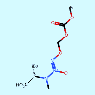 CC[C@@H](C)[C@@H](C(=O)O)N(C)/[N+]([O-])=N/OCOC(=O)OC(C)C